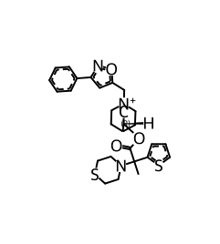 CC(C(=O)O[C@H]1C[N+]2(Cc3cc(-c4ccccc4)no3)CCC1CC2)(c1cccs1)N1CCSCC1